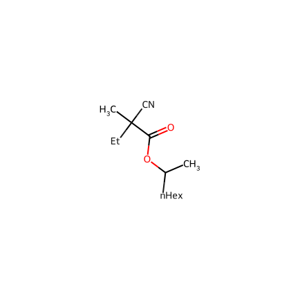 CCCCCCC(C)OC(=O)C(C)(C#N)CC